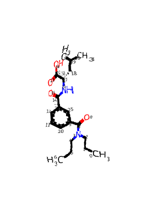 CCCN(CCC)C(=O)c1cccc(C(=O)N[C@@H](CC(C)C)C(=O)O)c1